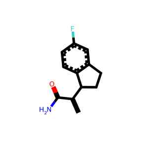 C=C(C(N)=O)C1CCc2cc(F)ccc21